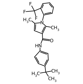 Cc1cc(C(=O)Nc2ccc(C(C)(C)C)cc2)c(C)n1-c1ccccc1C(F)(F)F